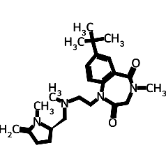 C=C1CC[C@H](CN(C)CCN2C(=O)CN(C)C(=O)c3cc(C(C)(C)C)ccc32)N1C